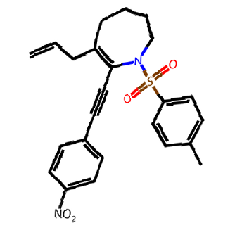 C=CCC1=C(C#Cc2ccc([N+](=O)[O-])cc2)N(S(=O)(=O)c2ccc(C)cc2)CCCC1